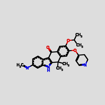 C=Nc1ccc2c3c([nH]c2c1)C(C)(C)c1cc(OC2=CC=NCC2)c(OC(C)C)cc1C3=O